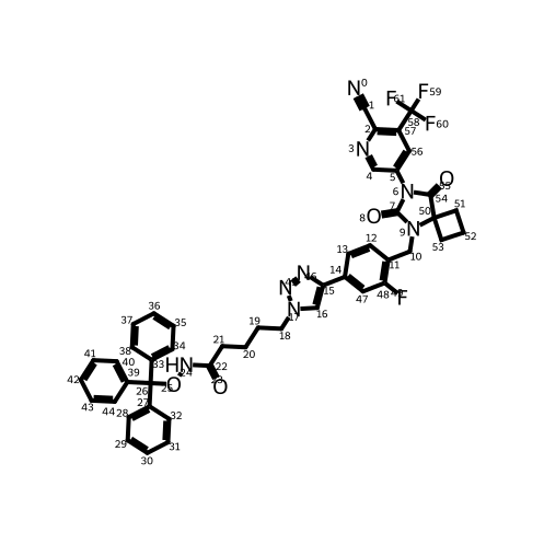 N#Cc1ncc(N2C(=O)N(Cc3ccc(-c4cn(CCCCC(=O)NOC(c5ccccc5)(c5ccccc5)c5ccccc5)nn4)cc3F)C3(CCC3)C2=O)cc1C(F)(F)F